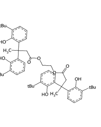 CC(C)(C)c1cccc(C(C)(CC(=O)OCCOC(=O)CC(C)(c2cccc(C(C)(C)C)c2O)c2cccc(C(C)(C)C)c2O)c2cccc(C(C)(C)C)c2O)c1O